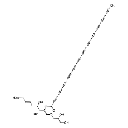 CC#CC#CC#CC#CC#CC#CC#CC#CC#CC#CC#CC#CC(=O)N[C@@H](COCC(O)CO)[C@H](O)[C@H](O)CCCCCCCCCCCCCC